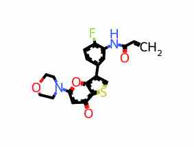 C=CC(=O)Nc1cc(-c2csc3c(=O)cc(N4CCOCC4)oc23)ccc1F